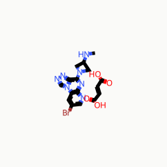 CNC1CN(c2nc3ncc(Br)cc3n3cnnc23)C1.O=C(O)C=CC(=O)O